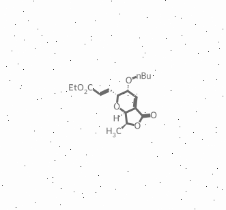 CCCCO[C@@H]1C=C2C(=O)O[C@@H](C)[C@H]2O[C@@H]1/C=C/C(=O)OCC